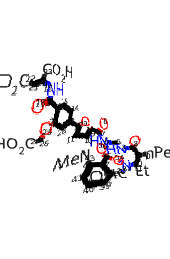 CCCCCC(C(=O)NCNC(=O)c1ccc(-c2ccc(C(=O)NC(CC(=O)O)C(=O)O)c(OCC(=O)O)c2)o1)[C@@H](CC)N(C=O)OC(=O)c1ccccc1NC